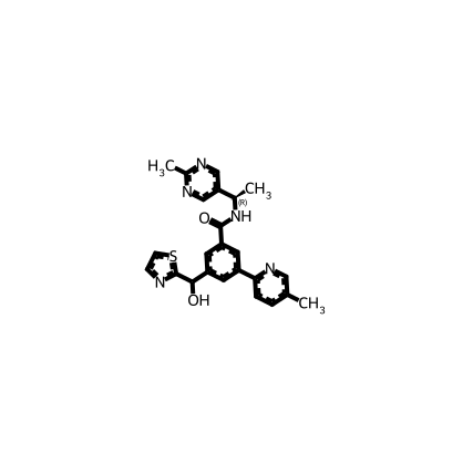 Cc1ccc(-c2cc(C(=O)N[C@H](C)c3cnc(C)nc3)cc(C(O)c3nccs3)c2)nc1